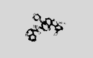 COc1ccc(Cl)cc1-c1c(F)ccc2c(N3CCOCC3)c(NC(=O)c3ccnc4ccccc34)cnc12